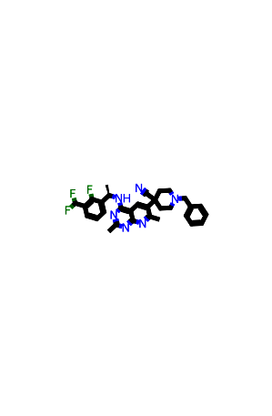 Cc1nc(N[C@H](C)c2cccc(C(F)F)c2F)c2cc(C3(C#N)CCN(Cc4ccccc4)CC3)c(C)nc2n1